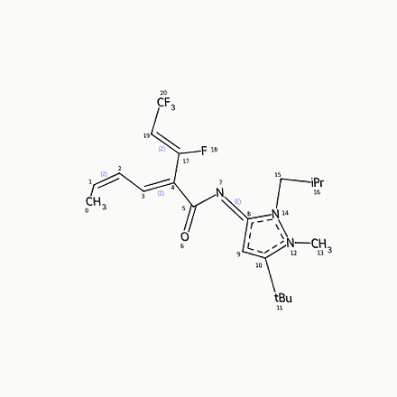 C\C=C/C=C(C(=O)/N=c1\cc(C(C)(C)C)n(C)n1CC(C)C)\C(F)=C\C(F)(F)F